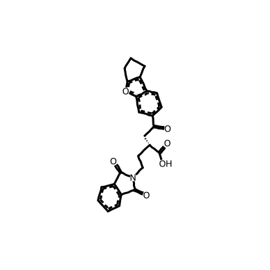 O=C(C[C@@H](CCN1C(=O)c2ccccc2C1=O)C(=O)O)c1ccc2c3c(oc2c1)CCC3